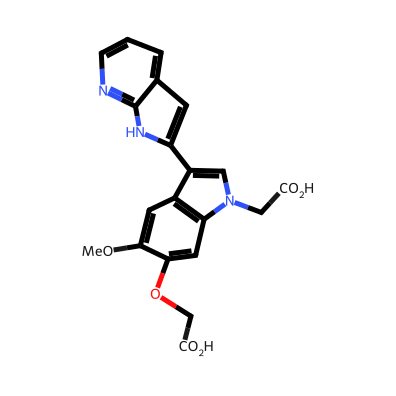 COc1cc2c(-c3cc4cccnc4[nH]3)cn(CC(=O)O)c2cc1OCC(=O)O